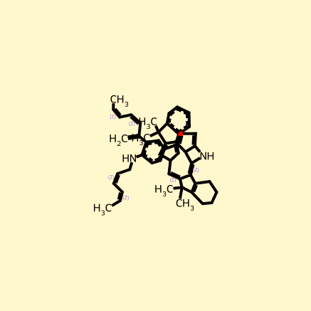 C=C(/C=C\C=C/C)c1cc(C2=CC=C3N/C(=C4\C5=C(CCCC5)C(C)(C)\C4=C\C4C=C5C(=C4)C(C)(C)c4ccccc45)C32)ccc1NC/C=C\C=C/C